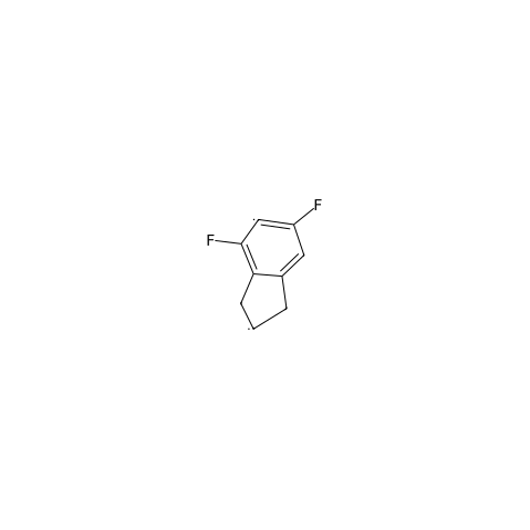 Fc1[c]c(F)c2c(c1)C[CH]C2